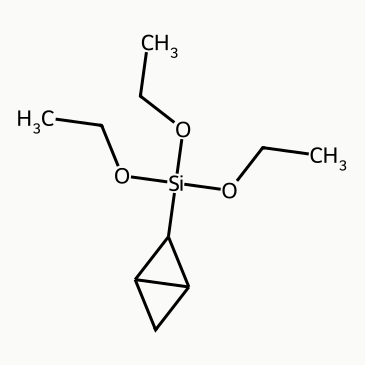 CCO[Si](OCC)(OCC)C1C2CC21